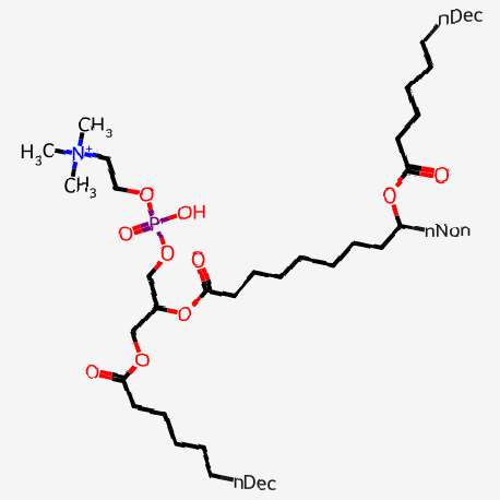 CCCCCCCCCCCCCCCC(=O)OCC(COP(=O)(O)OCC[N+](C)(C)C)OC(=O)CCCCCCCC(CCCCCCCCC)OC(=O)CCCCCCCCCCCCCCC